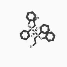 O=S(=O)(S(CCBr)(Sc1ccccc1)c1ccccc1)S(CCBr)(Sc1ccccc1)c1ccccc1